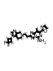 Cc1c(-c2ncco2)nc(N)n2nc(CCN3CCc4c(nnn4C4CC(F)(F)C4)C3)nc12